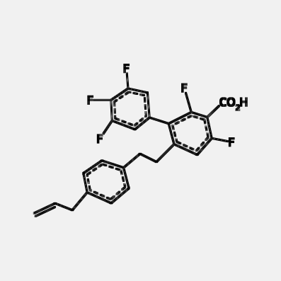 C=CCc1ccc(CCc2cc(F)c(C(=O)O)c(F)c2-c2cc(F)c(F)c(F)c2)cc1